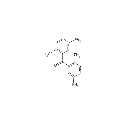 Cc1ccc(P)cc1C(=O)c1cc(P)ccc1C